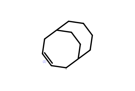 [CH]1/C=C\CC2CCCCC1CC2